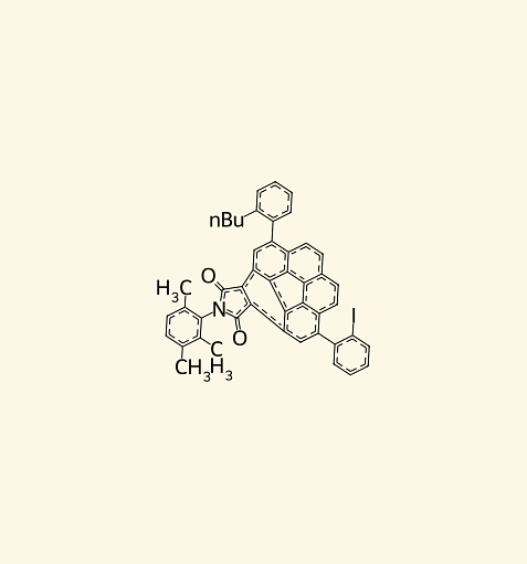 CCCCc1ccccc1-c1cc2c3c(=O)n(-c4c(C)ccc(C)c4C)c(=O)c3c3cc(-c4ccccc4I)c4ccc5ccc1c1c5c4c3c21